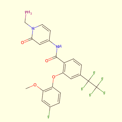 COc1cc(F)ccc1Oc1cc(C(F)(F)C(F)(F)F)ccc1C(=O)Nc1ccn(CP)c(=O)c1